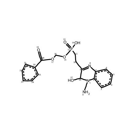 NN1c2ccccc2N=C(CCP(=O)(O)OCOC(=O)c2ccccc2)C1O